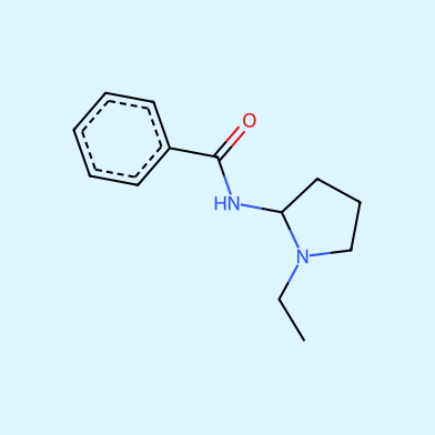 CCN1CCCC1NC(=O)c1ccccc1